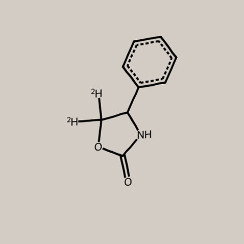 [2H]C1([2H])OC(=O)NC1c1ccccc1